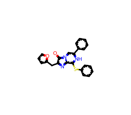 O=c1c(Cc2ccco2)nc2c(Sc3ccccc3)[nH]c(-c3ccccc3)cn1-2